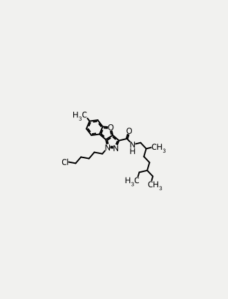 CCC(CC)CCC(C)CNC(=O)c1nn(CCCCCCl)c2c1oc1cc(C)ccc12